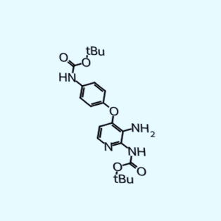 CC(C)(C)OC(=O)Nc1ccc(Oc2ccnc(NC(=O)OC(C)(C)C)c2N)cc1